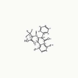 C[C@@H](c1nc2c(F)ccc(F)c2c(=O)n1-c1ccccc1)N(C(=O)O)C(C)(C)C